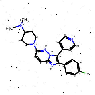 CN(C)C1CCN(c2ccc3nc(-c4ccc(F)cc4)c(-c4ccncc4)n3n2)CC1